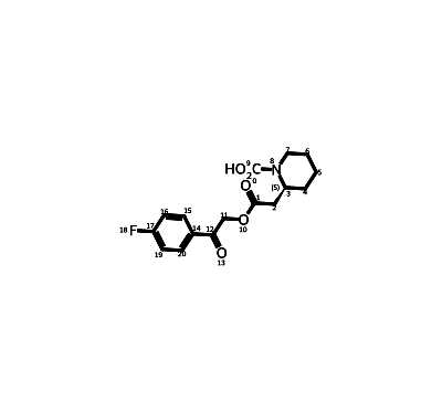 O=C(C[C@@H]1CCCCN1C(=O)O)OCC(=O)c1ccc(F)cc1